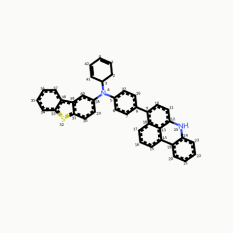 C1=CCC(N(c2ccc(-c3ccc4c5c(cccc35)-c3ccccc3N4)cc2)c2ccc3sc4ccccc4c3c2)C=C1